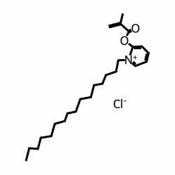 C=C(C)C(=O)Oc1cccc[n+]1CCCCCCCCCCCCCCCC.[Cl-]